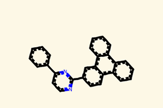 c1ccc(-c2ccnc(-c3ccc4c5ccccc5c5ccccc5c4c3)n2)cc1